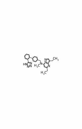 CCc1cc(N(C)Cc2ccc(-c3ccccc3-c3nnn[nH]3)cc2)n2ncc(CC)c2n1